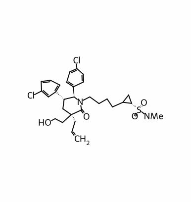 C=CC[C@]1(CCO)C[C@H](c2cccc(Cl)c2)[C@@H](c2ccc(Cl)cc2)N(CCCCC2C[C@@H]2S(=O)(=O)NC)C1=O